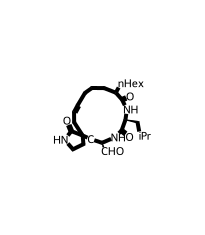 CCCCCCC1CCCC=CCC2(CCNC2=O)C[C@@H](C=O)NC(=O)[C@H](CC(C)C)NC1=O